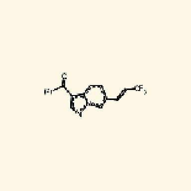 CC(C)C(=O)c1cnn2cc(/C=C/C(F)(F)F)ccc12